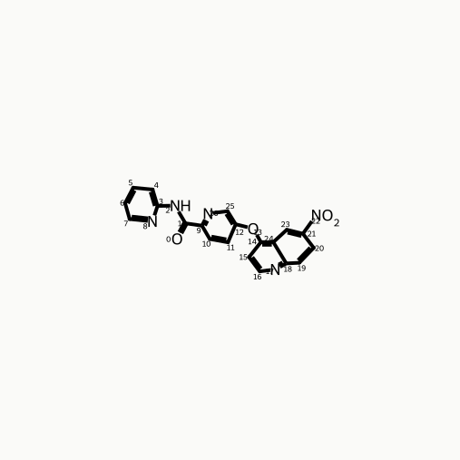 O=C(Nc1ccccn1)c1ccc(Oc2ccnc3ccc([N+](=O)[O-])cc23)cn1